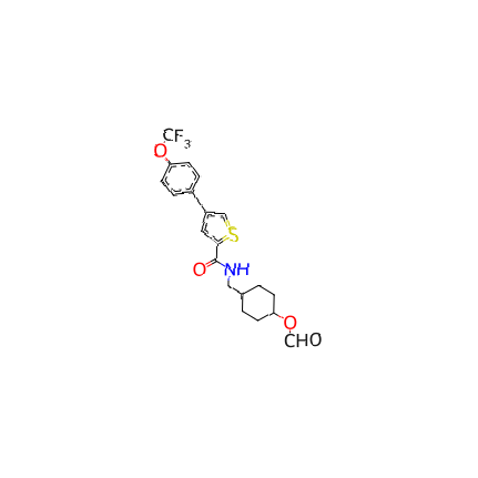 O=COC1CCC(CNC(=O)c2cc(-c3ccc(OC(F)(F)F)cc3)cs2)CC1